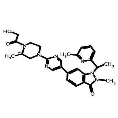 Cc1cccc(C(C)n2c3cc(-c4cnc(N5CCN(C(=O)CO)[C@H](C)C5)nc4)ccc3c(=O)n2C)n1